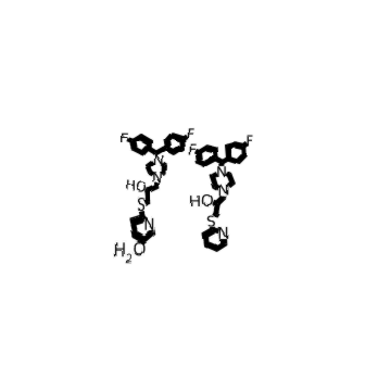 O.OC(CSc1ccccn1)CN1CCN(C(c2ccc(F)cc2)c2ccc(F)cc2)CC1.OC(CSc1ccccn1)CN1CCN(C(c2ccc(F)cc2)c2ccc(F)cc2)CC1